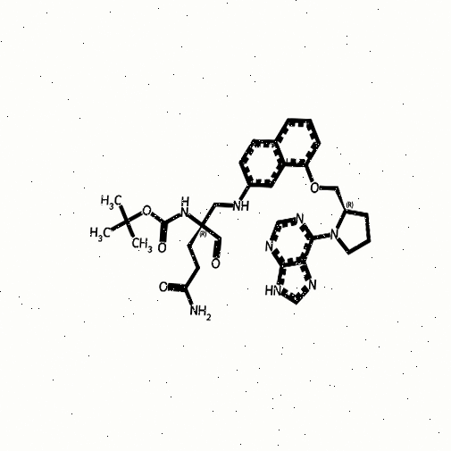 CC(C)(C)OC(=O)N[C@](C=O)(CCC(N)=O)CNc1ccc2cccc(OC[C@H]3CCCN3c3ncnc4[nH]cnc34)c2c1